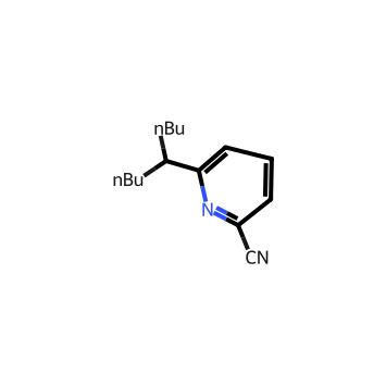 CCCCC(CCCC)c1cccc(C#N)n1